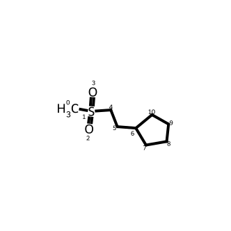 CS(=O)(=O)CCC1CCCC1